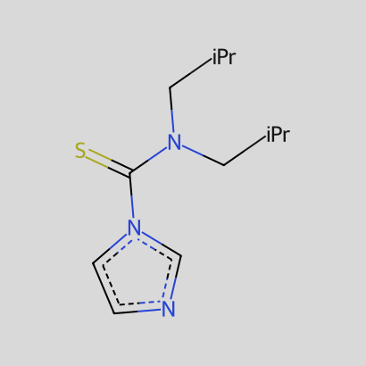 CC(C)CN(CC(C)C)C(=S)n1ccnc1